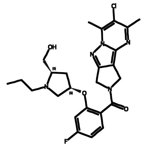 CCCN1C[C@@H](Oc2cc(F)ccc2C(=O)N2Cc3nn4c(C)c(Cl)c(C)nc4c3C2)C[C@H]1CO